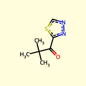 CC(C)(C)C(=O)c1nncs1